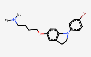 CCN(CC)CCCCOc1ccc2c(c1)CCN2c1ccc(Br)cc1